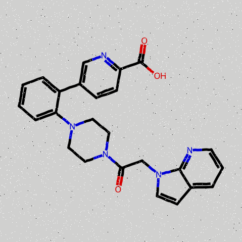 O=C(O)c1ccc(-c2ccccc2N2CCN(C(=O)Cn3ccc4cccnc43)CC2)cn1